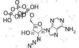 [N-]=[N+]=NC1[C@H](n2cnc3c(N)ncnc32)O[C@H](COP(=O)(O)OP(=O)(O)OP(=O)(O)O)[C@H]1O